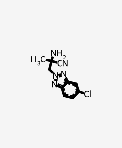 CC(N)(C#N)Cn1nc2ccc(Cl)cc2n1